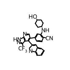 N#Cc1ccc(-c2cnc3[nH]nc(C(F)(F)F)c3c2-c2cnc3ccccc3c2)cc1N[C@H]1CC[C@H](O)CC1